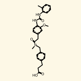 COc1cc(CC(=O)N(C)Cc2ccc(CCC(=O)O)cc2)ccc1NC(=O)Nc1ccccc1C